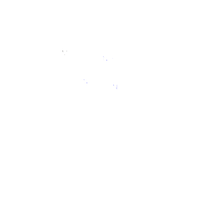 CSC(=N)Nc1cc2ccccc2cn1